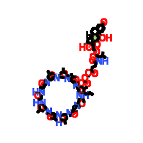 C/C=C/CC(C)C(OC(=O)OCOC(=O)CCC(=O)NC(C(=O)OCC(=O)[C@@]1(O)[C@H](C)C[C@@H]2C3CCC4=CC(=O)C=C[C@]4(C)[C@@]3(F)[C@@H](O)C[C@@]21C)C(C)C)[C@@H]1C(=O)N[C@H](CC)C(=O)N(C)CC(=O)N(C)[C@@H](CC(C)C)C(=O)NC(C(C)C)C(=O)N(C)[C@H](CC(C)C)C(=O)NC(C)C(=O)NC(C)C(=O)N(C)C(CC(C)C)C(=O)N(C)[C@H](CC(C)C)C(=O)N(C)C(C(C)C)C(=O)N1C